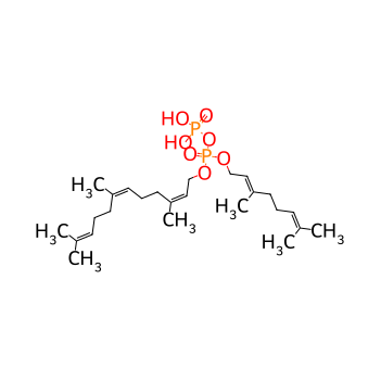 CC(C)=CCCC(C)=CCCC(C)=CCOP(=O)(OC/C=C(\C)CCC=C(C)C)OP(=O)(O)O